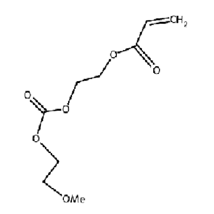 C=CC(=O)OCCOC(=O)OCCOC